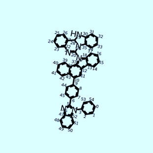 c1ccc(-n2c(-c3ccc(-c4cc5c6ccccc6n(C6=Nc7ccccc7C7Nc8ccccc8N67)c5c5ccccc45)cc3)nc3ccccc32)cc1